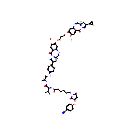 COc1cc2c(cc1OCCCOc1cc3c(cc1OC)C(=O)N1C=C(C4CC4)C[C@@H]1C=N3)N=C[C@H]1CC(c3ccc(NC(=O)C(C)NC(=O)C(NC(=O)CCCCCN4C(=O)C=C(Oc5ccc(C#N)cc5)C4=O)C(C)C)cc3)=CN1C2=O